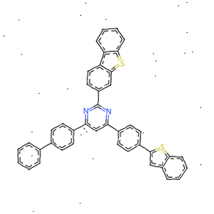 c1ccc(-c2ccc(-c3cc(-c4ccc(-c5cc6ccccc6s5)cc4)nc(-c4ccc5c(c4)sc4ccccc45)n3)cc2)cc1